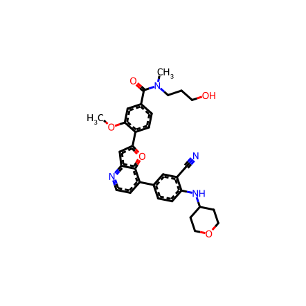 COc1cc(C(=O)N(C)CCCO)ccc1-c1cc2nccc(-c3ccc(NC4CCOCC4)c(C#N)c3)c2o1